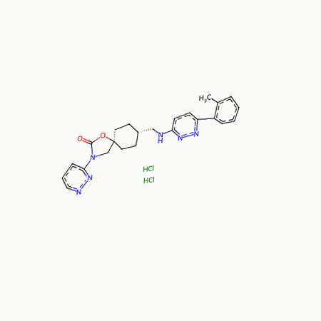 Cc1ccccc1-c1ccc(NC[C@H]2CC[C@]3(CC2)CN(c2cccnn2)C(=O)O3)nn1.Cl.Cl